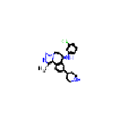 Cc1nnn2c1-c1ccc(C3=CCNCC3)cc1C(Nc1cccc(Cl)c1)CC2